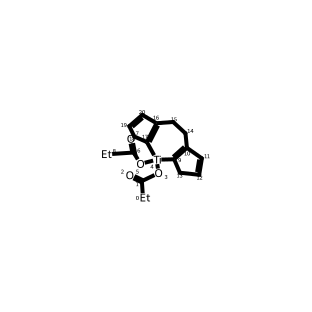 CCC(=O)[O][Ti]1([O]C(=O)CC)[C]2=C(C=CC2)CCC2=[C]1CC=C2